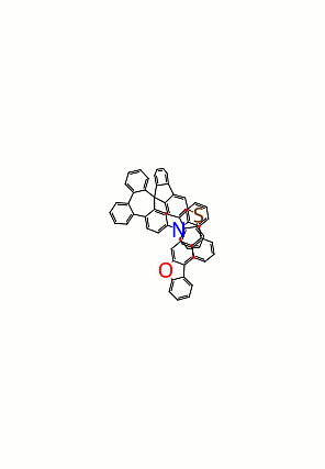 c1ccc(-c2ccccc2N(c2ccc3c(c2)C2(c4ccccc4-c4ccccc4-3)c3ccccc3-c3cc4sc5ccccc5c4cc32)c2ccc3c(c2)oc2ccccc23)cc1